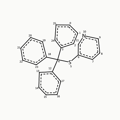 c1ccc(C(Sc2cccnc2)(c2ccccc2)c2ccccc2)cc1